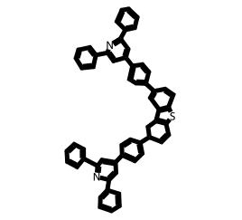 C1=CC(c2ccc(-c3cc(-c4ccccc4)nc(-c4ccccc4)c3)cc2)Cc2c1sc1ccc(-c3ccc(-c4cc(-c5ccccc5)nc(-c5ccccc5)c4)cc3)cc21